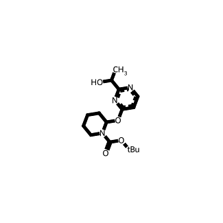 CC(O)c1nccc(OC2CCCCN2C(=O)OC(C)(C)C)n1